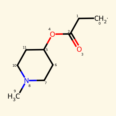 [CH2]CC(=O)OC1CCN(C)CC1